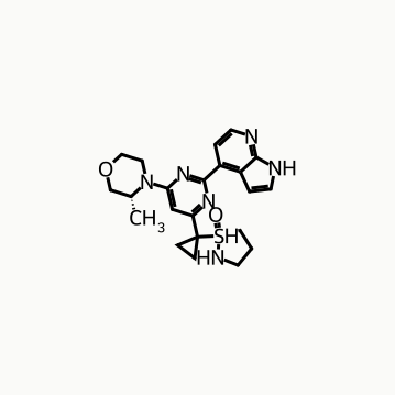 C[C@@H]1COCCN1c1cc(C2([SH]3(=O)CCCN3)CC2)nc(-c2ccnc3[nH]ccc23)n1